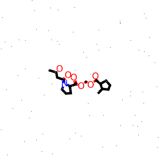 CC(=O)CC(=O)N1CCCC1C(=O)OCOC(=O)C1CCCC1C